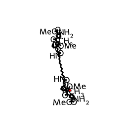 COC(=O)c1cc(C(=O)c2c(C)c(OC)c3c(OCC(=O)NCCCCCCCCCCCNC(=O)COc4cccn5c(C(=O)c6ccc(N)c(C(=O)OC)c6)c(C)c(OC)c45)cccn23)ccc1N